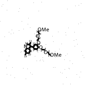 COCCOCCOc1ccc(-c2c(C)cnc3cc(C)ccc23)cc1OCCOCCOC